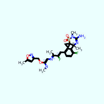 C=N\C(=C/N=C(C)/C(F)=C/c1ccc(F)c([C@@]2(C)N=C(N)N(C)S(=O)(=O)C23CC3)c1)OCc1cc(C)on1